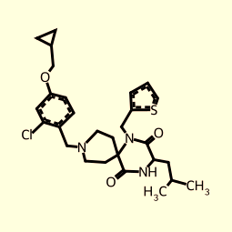 CC(C)CC1NC(=O)C2(CCN(Cc3ccc(OCC4CC4)cc3Cl)CC2)N(Cc2cccs2)C1=O